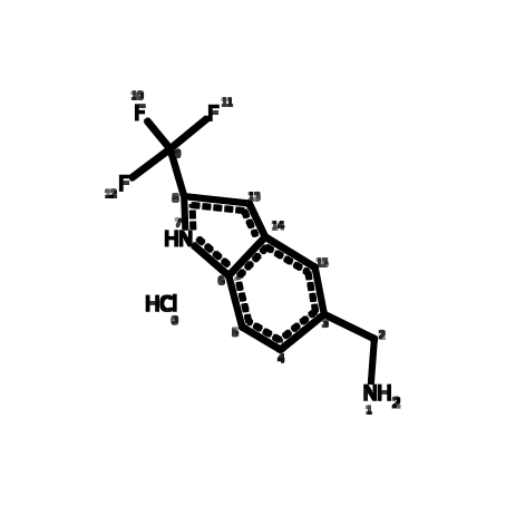 Cl.NCc1ccc2[nH]c(C(F)(F)F)cc2c1